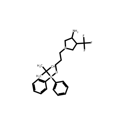 CC(C)(C)[Si](OCCCN1CC(N)C(C(F)(F)F)C1)(c1ccccc1)c1ccccc1